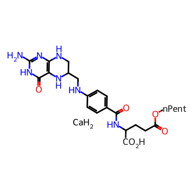 CCCCCOC(=O)CCC(NC(=O)c1ccc(NCC2CNc3nc(N)[nH]c(=O)c3N2)cc1)C(=O)O.[CaH2]